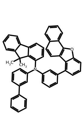 CC1(C)c2ccccc2-c2cccc(N(c3cccc(-c4ccccc4)c3)c3cccc(-c4cccc5oc6c7ccccc7ccc6c45)c3)c21